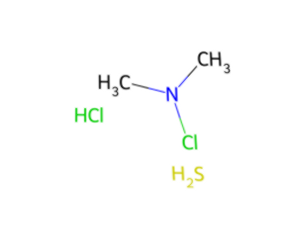 CN(C)Cl.Cl.S